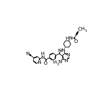 CC#CC(=O)N[C@H]1CC[C@H](n2nc(-c3ccc(C(=O)Nc4cc(C#N)ccn4)cc3)c3c(N)ncnc32)CC1